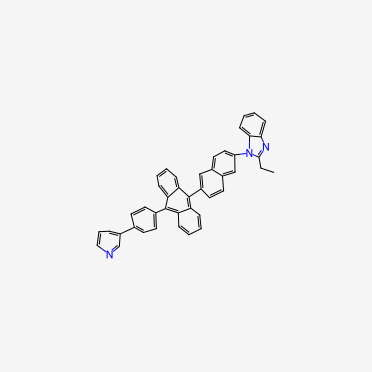 CCc1nc2ccccc2n1-c1ccc2cc(-c3c4ccccc4c(-c4ccc(-c5cccnc5)cc4)c4ccccc34)ccc2c1